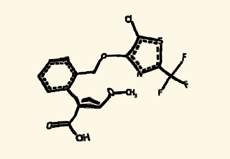 CO/C=C(/C(=O)O)c1ccccc1COc1nc(C(F)(F)F)sc1Cl